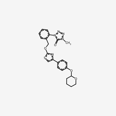 Cn1nnn(-c2ccccc2COc2nc(-c3ccc(OC4CCCCO4)cc3)cs2)c1=O